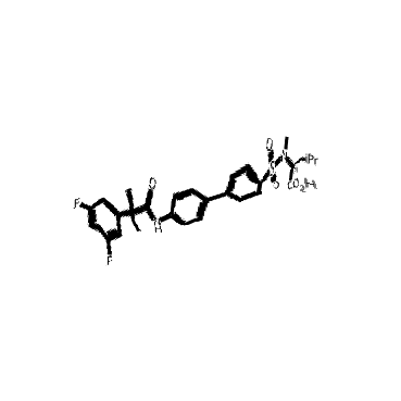 CC(C)[C@@H](C(=O)O)N(C)S(=O)(=O)c1ccc(-c2ccc(NC(=O)C(C)(C)c3cc(F)cc(F)c3)cc2)cc1